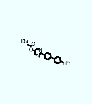 CCCc1ccc(-c2ccc(-c3ncc(OC(=O)C[C@@H](C)CC)cn3)cc2)cc1